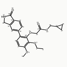 CCOc1c(OC)ccc(-c2ccc3c(c2)CNC3=O)c1OCC(=O)OCC1CC1